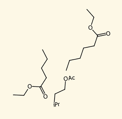 CC(=O)OCCC(C)C.CCCCC(=O)OCC.CCCCCC(=O)OCC